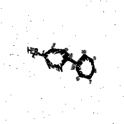 Bc1ccc(-c2ccccc2)nn1